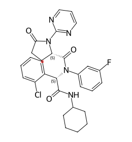 O=C(NC1CCCCC1)[C@H](c1ccccc1Cl)N(C(=O)[C@@H]1CCC(=O)N1c1ncccn1)c1cccc(F)c1